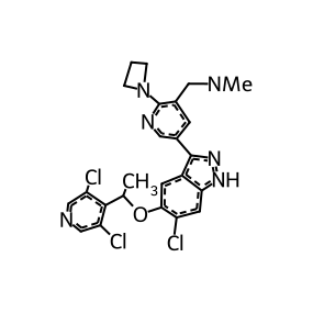 CNCc1cc(-c2n[nH]c3cc(Cl)c(OC(C)c4c(Cl)cncc4Cl)cc23)cnc1N1CCC1